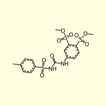 COS(=O)(=O)c1ccc(NC(=O)NS(=O)(=O)c2ccc(C)cc2)cc1S(=O)(=O)OC